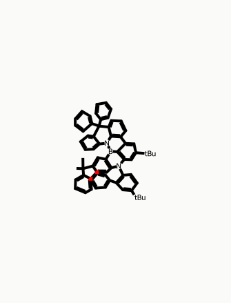 CC(C)(C)c1ccc(N2c3cc4c(cc3B3c5c(cc(C(C)(C)C)cc52)-c2cccc5c2N3c2ccccc2C5(c2ccccc2)c2ccccc2)C(C)(C)c2ccccc2-4)c(-c2ccccc2)c1